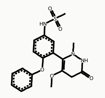 COC1=C(c2cc(NS(C)(=O)=O)ccc2Oc2ccccc2)N(C)NC(=O)C1